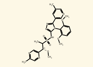 COc1cccc(OC)c1-n1c(NS(=O)(=O)C(C)[C@H](OC)c2cnc(C)cn2)nnc1-c1cncc(C)c1